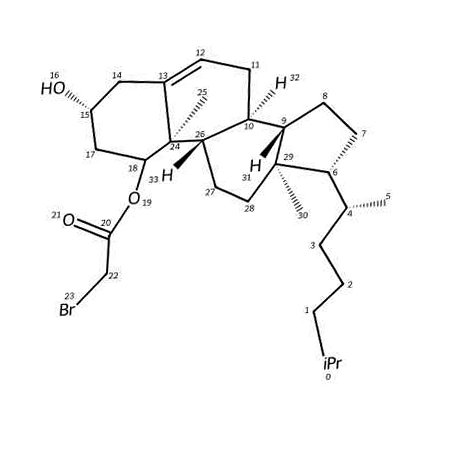 CC(C)CCC[C@@H](C)[C@H]1CC[C@H]2[C@@H]3CC=C4C[C@@H](O)CC(OC(=O)CBr)[C@]4(C)[C@H]3CC[C@]12C